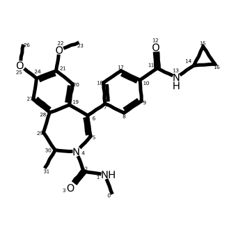 CNC(=O)N1C=C(c2ccc(C(=O)NC3CC3)cc2)c2cc(OC)c(OC)cc2CC1C